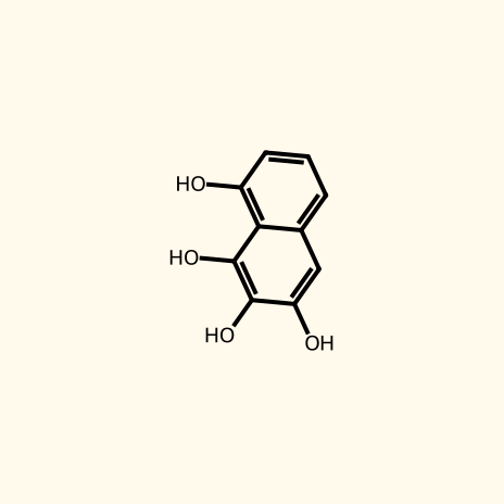 Oc1cc2cccc(O)c2c(O)c1O